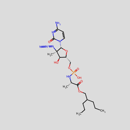 CCCC(CCC)COC(=O)[C@H](C)NP(=O)(O)OC[C@H]1O[C@@H](n2ccc(N)nc2=O)[C@](C)(N=[N+]=[N-])[C@@H]1O